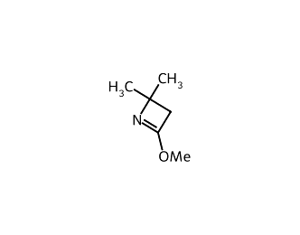 COC1=NC(C)(C)C1